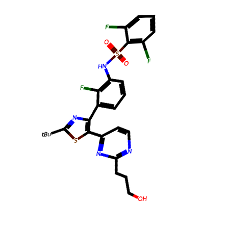 CC(C)(C)c1nc(-c2cccc(NS(=O)(=O)c3c(F)cccc3F)c2F)c(-c2ccnc(CCCO)n2)s1